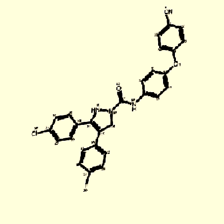 N#Cc1ccc(Oc2ccc(NC(=O)N3CC(c4ccc(F)cc4)=C(c4ccc(Cl)cc4)N3)cc2)cc1